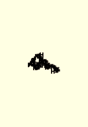 Fc1cc(OCCN2CCCC2)cc(-c2nccc3[nH]c(-c4n[nH]c5ccc(-c6cncc(CNCC7CCCC7)c6)cc45)cc23)c1